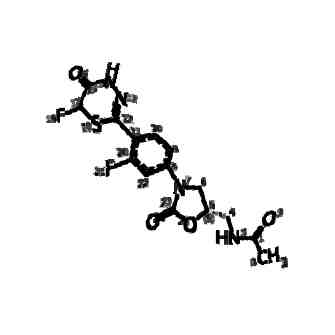 CC(=O)NC[C@H]1CN(c2ccc(C3=NNC(=O)C(F)S3)c(F)c2)C(=O)O1